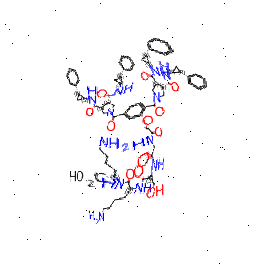 NCCCC[C@H](NC(=O)[C@H](CCCCN)NC(=O)[C@H](CO)NC(=O)CNC(=O)COc1cc(C(=O)N2C[C@@H](C(=O)N[C@H]3C[C@@H]3c3ccccc3)[C@H](C(=O)N[C@H]3C[C@@H]3c3ccccc3)C2)ccc1C(=O)N1C[C@@H](C(=O)N[C@H]2C[C@@H]2c2ccccc2)[C@H](C(=O)N[C@H]2C[C@@H]2c2ccccc2)C1)C(=O)O